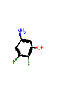 Nc1cc(O)c(F)c(F)c1